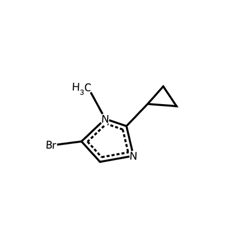 Cn1c(Br)cnc1C1CC1